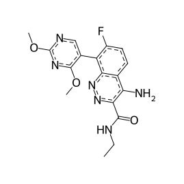 CCNC(=O)c1nnc2c(-c3cnc(OC)nc3OC)c(F)ccc2c1N